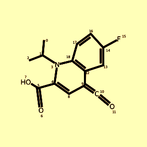 CC(C)N1C(C(=O)O)=CC(=C=O)c2cc(F)ccc21